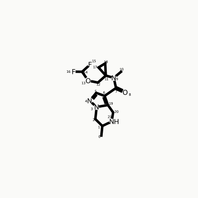 CC1Cn2ncc(C(=O)N(C)C3(COC(F)F)CC3)c2CN1